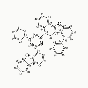 C1=CCC(c2nc(-c3cccc4c3oc3ccccc34)nc(C3Cc4c(oc5cccc(-c6ccccc6)c45)-c4ccccc43)n2)C=C1